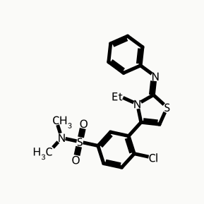 CCn1c(-c2cc(S(=O)(=O)N(C)C)ccc2Cl)cs/c1=N/c1ccccc1